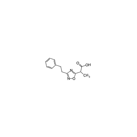 CC(C(=O)O)c1nc(CCc2ccccc2)no1